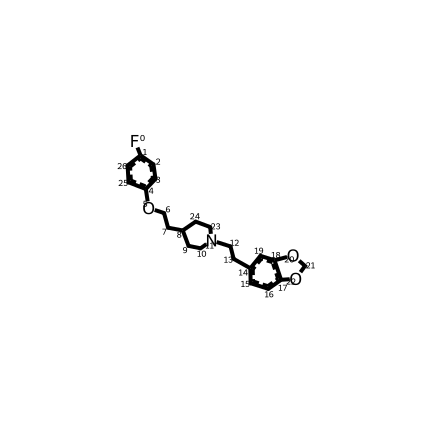 Fc1ccc(OCCC2CCN(CCc3ccc4c(c3)OCO4)CC2)cc1